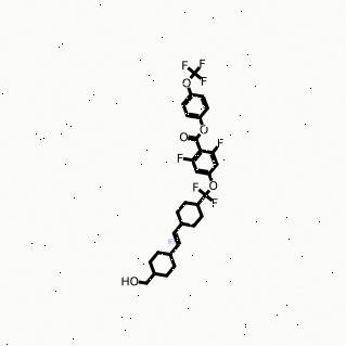 O=C(Oc1ccc(OC(F)(F)F)cc1)c1c(F)cc(OC(F)(F)C2CCC(/C=C/C3CCC(CO)CC3)CC2)cc1F